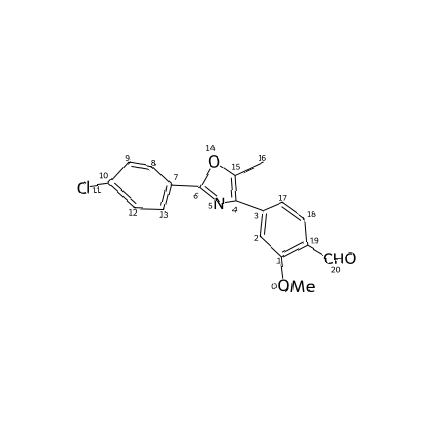 COc1cc(-c2nc(-c3ccc(Cl)cc3)oc2C)ccc1C=O